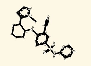 Cn1nccc1C1CCCCC1Oc1ccc(S(=O)(=O)Nc2ccncn2)cc1C#N